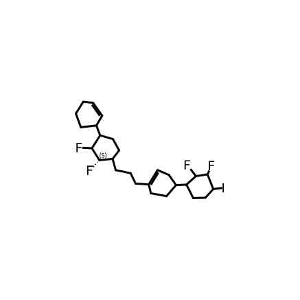 FC1C(I)CCC(C2CC=C(CCCC3CCC(C4C=CCCC4)C(F)[C@H]3F)CC2)C1F